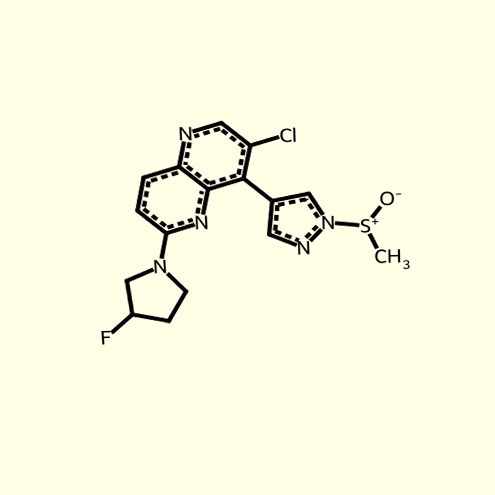 C[S+]([O-])n1cc(-c2c(Cl)cnc3ccc(N4CCC(F)C4)nc23)cn1